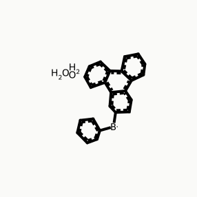 O.O.[B](c1ccccc1)c1ccc2c3ccccc3c3ccccc3c2c1